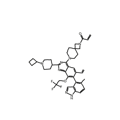 C=CC(=O)N1CC2(CCN(c3nc(C4CCN(C5CCC5)CC4)nc4c(OCC(F)(F)F)c(-c5c(C)ccc6[nH]ncc56)c(C=C)cc34)CC2)C1